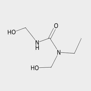 CCN(CO)C(=O)NCO